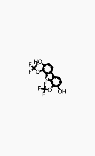 Oc1ccc2c(sc3c(OC(F)(F)F)c(O)ccc32)c1OC(F)(F)F